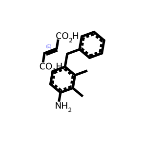 Cc1c(N)ccc(Cc2ccccc2)c1C.O=C(O)/C=C/C(=O)O